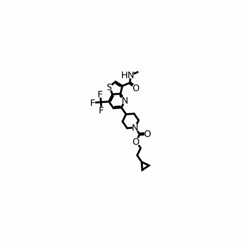 CNC(=O)c1csc2c(C(F)(F)F)cc(C3CCN(C(=O)OCCC4CC4)CC3)nc12